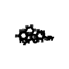 CC(C)c1ccc(C2(C(N)=O)CCCc3ccccc32)cn1